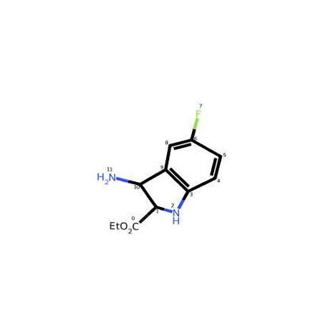 CCOC(=O)C1Nc2ccc(F)cc2C1N